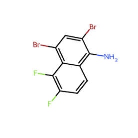 Nc1c(Br)cc(Br)c2c(F)c(F)ccc12